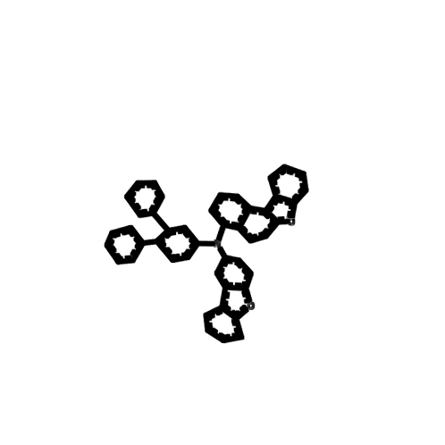 c1ccc(-c2ccc(N(c3ccc4oc5ccccc5c4c3)c3cccc4c3ccc3oc5ccccc5c34)cc2-c2ccccc2)cc1